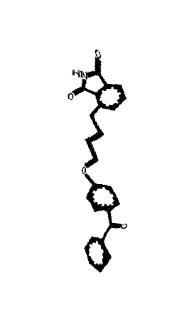 O=C(c1ccccc1)c1ccc(OCCCCc2cccc3c2C(=O)NC3=O)cc1